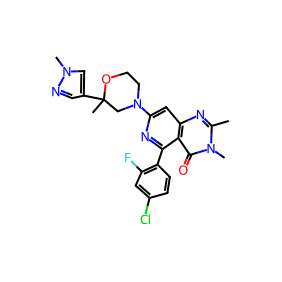 Cc1nc2cc(N3CCOC(C)(c4cnn(C)c4)C3)nc(-c3ccc(Cl)cc3F)c2c(=O)n1C